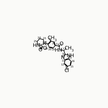 Cc1cc(C(=O)N[C@@H](C)c2nc3cc(Cl)ccc3[nH]2)ccc1N1CCCNS1(=O)=O